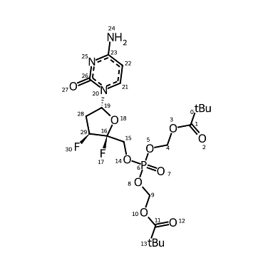 CC(C)(C)C(=O)OCOP(=O)(OCOC(=O)C(C)(C)C)OC[C@@]1(F)O[C@@H](n2ccc(N)nc2=O)C[C@@H]1F